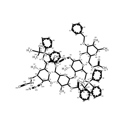 CC(=O)OCC1O[C@@H](O[C@@H]2C(CO[Si](c3ccccc3)(c3ccccc3)C(C)(C)C)O[C@@H](O[C@@H]3C(COC(C)=O)OC(C)C(C)[C@@H]3OCc3ccccc3)C(N=[N+]=[N-])[C@H]2C)C(OC(=O)c2ccccc2)[C@@H](C)[C@@H]1O[C@@H]1OC(CO[Si](c2ccccc2)(c2ccccc2)C(C)(C)C)[C@@H](C)[C@H](PBB=O)C1N=[N+]=[N-]